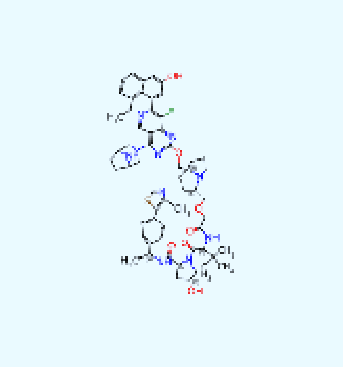 CCc1cccc2cc(O)cc(-c3ncc4c(N5CC6CCC(C5)N6)nc(OC[C@@]56CCCN5[C@H](COCC(=O)N[C@H](C(=O)N5C[C@H](O)C[C@H]5C(=O)N[C@@H](C)c5ccc(-c7scnc7C)cc5)C(C)(C)C)CC6)nc4c3F)c12